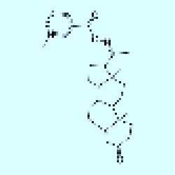 C/C(=N/OC(=O)c1ccc[n+](C)c1)C1CCC2C3CCC4=CC(=O)CCC4(C)C3CCC12C